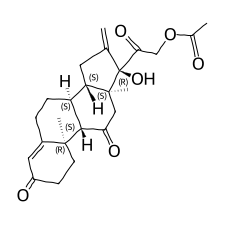 C=C1C[C@H]2[C@@H]3CCC4=CC(=O)CC[C@]4(C)[C@H]3C(=O)C[C@]2(C)[C@@]1(O)C(=O)COC(C)=O